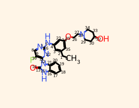 CCc1cc(Nc2ncc(F)c(-n3c(=O)[nH]c4ccccc43)n2)cc(OCCN2CCC(O)CC2)c1